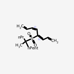 C=C/C=C\C(=C/C=C)S(=O)(=O)C(C)(CCC)CCCCC